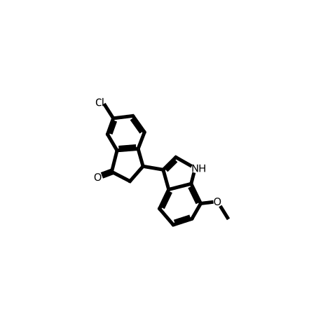 COc1cccc2c(C3CC(=O)c4cc(Cl)ccc43)c[nH]c12